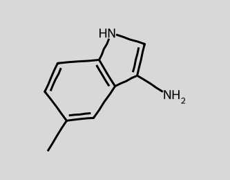 Cc1ccc2[nH]cc(N)c2c1